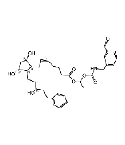 CC(OC(=O)CCC/C=C\C[C@@H]1[C@@H](CC[C@@H](O)CCc2ccccc2)[C@H](O)C[C@H]1O)OC(=O)NCc1cccc(C=O)c1